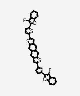 Fc1c(-c2ccc(-c3cc4cc5cc6sc(-c7ccc(-c8oc9ccccc9c8F)s7)cc6cc5cc4s3)s2)oc2ccccc12